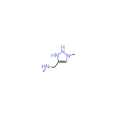 CNCC1=CN(C)NN1